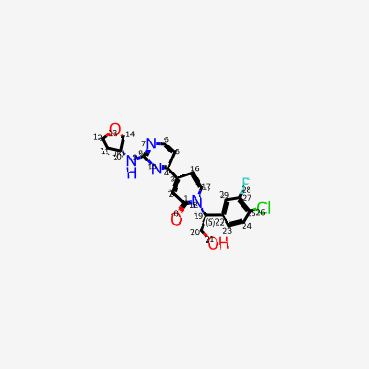 O=c1cc(-c2ccnc(N[C@@H]3CCOC3)n2)ccn1[C@H](CO)c1ccc(Cl)c(F)c1